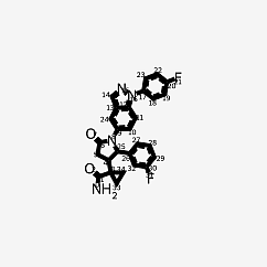 NC(=O)C1(C2CC(=O)N(c3ccc4c(cnn4-c4ccc(F)cc4)c3)C2c2cccc(F)c2)CC1